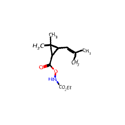 CCOC(=O)NOC(=O)C1C(C=C(C)C)C1(C)C